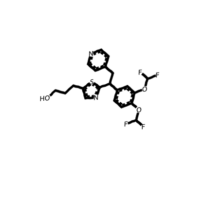 OCCCc1cnc(C(Cc2ccncc2)c2ccc(OC(F)F)c(OC(F)F)c2)s1